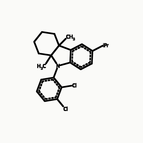 CC(C)c1ccc2c(c1)C1(C)CCCCC1(C)N2c1cccc(Cl)c1Cl